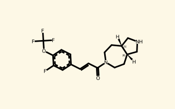 O=C(C=Cc1ccc(OC(F)(F)F)c(F)c1)N1CC[C@@H]2CNC[C@@H]2CC1